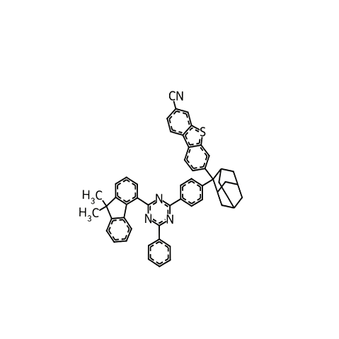 CC1(C)c2ccccc2-c2c(-c3nc(-c4ccccc4)nc(-c4ccc(C5(c6ccc7c(c6)sc6cc(C#N)ccc67)C6CC7CC(C6)CC5C7)cc4)n3)cccc21